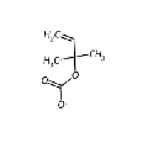 C=CC(C)(C)OC([O])=O